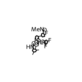 CNC(=O)c1cc(-c2cccnc2[C@H](Cc2cc(F)cc(F)c2)NC(=O)CC2C(=O)Nc3cc(C)cc(C)c32)ccc1F